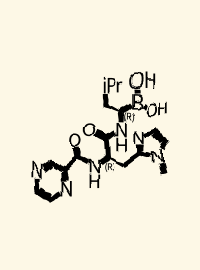 CC(C)C[C@H](NC(=O)[C@@H](Cc1nccn1C)NC(=O)c1cnccn1)B(O)O